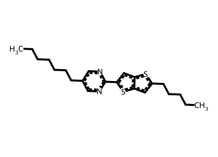 CCCCCCCc1cnc(-c2cc3sc(CCCCC)cc3s2)nc1